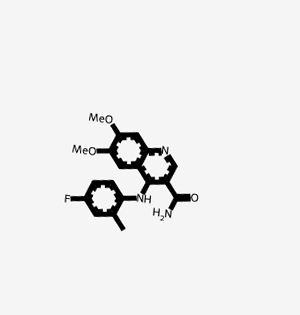 COc1cc2ncc(C(N)=O)c(Nc3ccc(F)cc3C)c2cc1OC